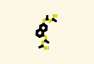 CC(S)SC(C)Sc1ccc2c(SC(C)SC(C)S)cccc2c1